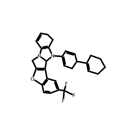 FC(F)(F)c1ccc2oc3c(c2c1)C1N(C3)C2=C(CCC=C2)N1C1=CCC(C2=CCCCC2)C=C1